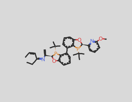 C=C(/N=C(\C=C/C)CC)[C@@H]1Oc2cccc(-c3cccc4c3[P@@](C(C)(C)C)[C@H](c3cccc(OC)n3)O4)c2[P@@]1C(C)(C)C